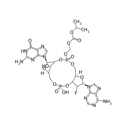 CC(C)OC(=O)OCOP1(=O)OC[C@H]2O[C@@H](n3cnc4c(N)ncnc43)C(F)C2OP(=O)(O)OC[C@H]2O[C@@H](n3cnc4c(=O)[nH]c(N)nc43)C(O1)C2O